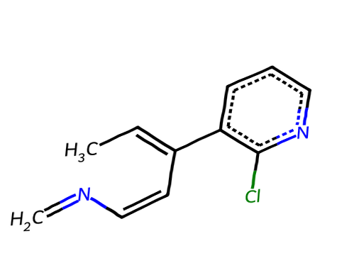 C=N/C=C\C(=C/C)c1cccnc1Cl